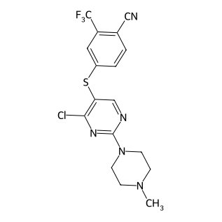 CN1CCN(c2ncc(Sc3ccc(C#N)c(C(F)(F)F)c3)c(Cl)n2)CC1